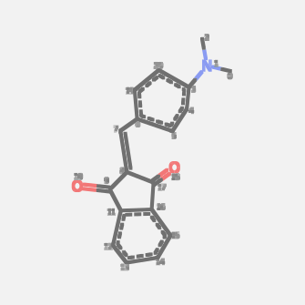 CN(C)c1ccc(C=C2C(=O)c3ccccc3C2=O)cc1